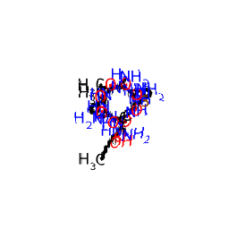 CCCCCCC[C@@H](O)CC(=O)N[C@H](CCN)C(=O)N[C@H]1CCNC(=O)[C@H](Cc2nc3ccccc3s2)NC(=O)[C@H](CCN)NC(=O)[C@H](CCN)NC(=O)[C@H](CC(C)C)NC(=O)[C@@H](Cc2ccccc2)NC(=O)[C@H](CCN)NC1=O